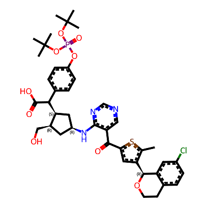 Cc1sc(C(=O)c2cncnc2N[C@H]2C[C@@H](CO)[C@@H](C(C(=O)O)c3ccc(OP(=O)(OC(C)(C)C)OC(C)(C)C)cc3)C2)cc1[C@@H]1OCCc2ccc(Cl)cc21